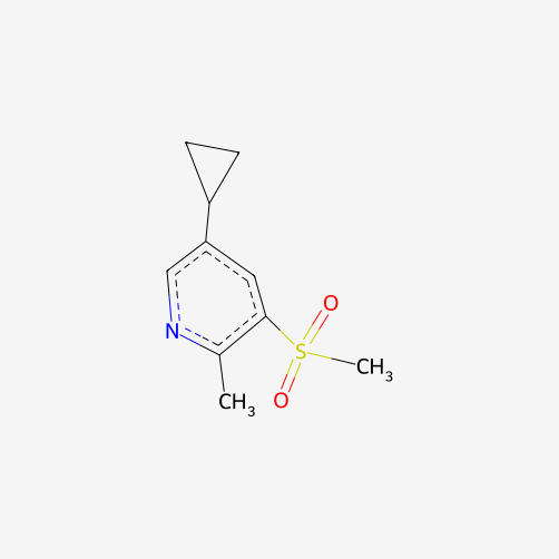 Cc1ncc(C2CC2)cc1S(C)(=O)=O